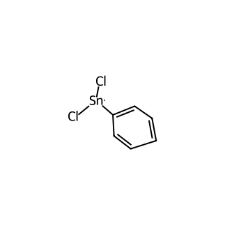 [Cl][Sn]([Cl])[c]1ccccc1